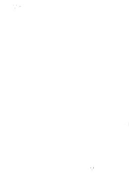 COCOCCc1ccc(C(O)c2ccc(OC)cc2O)cc1